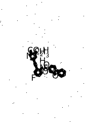 Cc1cc(C#Cc2cc(F)ccc2NS(=O)(=O)c2ccc3c(c2)oc2ccccc23)cnc1C(=O)O